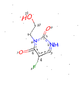 O=c1[nH]cc(F)c(=O)n1CCO